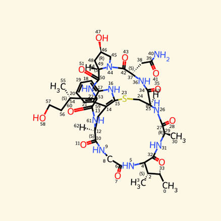 CC[C@H](C)C1NC(=O)CNC(=O)[C@@H]2Cc3c([nH]c4ccccc34)SC[C@H](NC(=O)[C@@H](C)NC1=O)C(=O)N[C@@H](CC(N)=O)C(=O)N1C[C@H](O)C[C@H]1C(=O)NC([C@@H](C)CCO)C(=O)N2